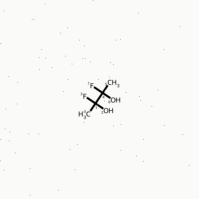 CC(O)(F)C(C)(O)F